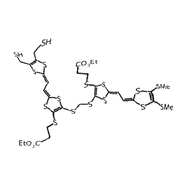 CCOC(=O)CCSC1=C(SCSC2=C(SCCC(=O)OCC)SC(=CC=C3SC(SC)=C(SC)S3)S2)SC(=CC=C2SC(CS)=C(CS)S2)S1